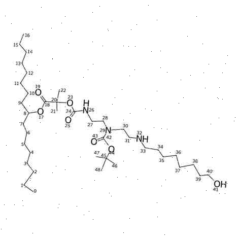 CCCCCCCCC(CCCCCCCC)OC(=O)C(C)(C)OC(=O)NCCN(CCNCCCCCCCCO)C(=O)OC(C)(C)C